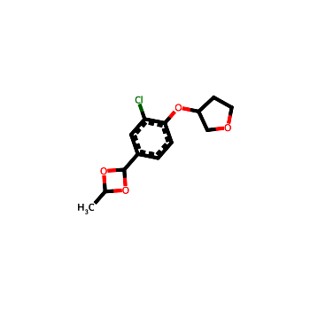 CC1OC(c2ccc(OC3CCOC3)c(Cl)c2)O1